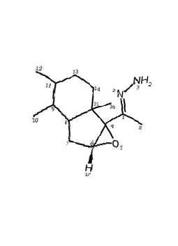 CC(=NN)C12O[C@@H]1CC1C(C)C(C)CCC12C